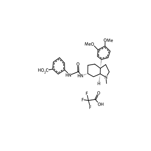 COc1ccc([C@@]23CC[C@@H](NC(=O)Nc4cccc(C(=O)O)c4)C[C@@H]2N(C)CC3)cc1OC.O=C(O)C(F)(F)F